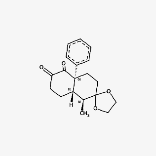 C[C@H]1[C@@H]2CCC(=O)C(=O)[C@@]2(c2ccccc2)CCC12OCCO2